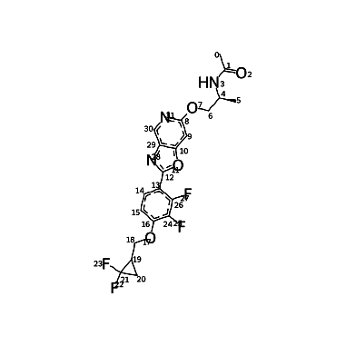 CC(=O)N[C@@H](C)COc1cc2oc(-c3ccc(OCC4CC4(F)F)c(F)c3F)nc2cn1